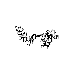 CCN1CCC(NC(=O)c2ccc(Nc3ncc4cc(C#CCNC(=O)c5c(C)n(C)n(Cc6ccc(F)c(F)c6)c5=O)ccc4n3)cc2)CC1